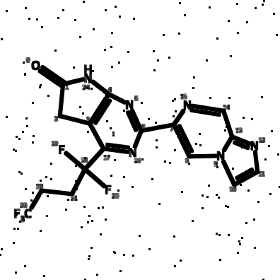 O=C1Cc2c(nc(-c3cn4ccnc4cn3)nc2C(F)(F)CCC(F)(F)F)N1